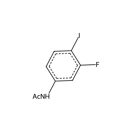 CC(=O)Nc1ccc(I)c(F)c1